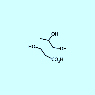 CC(O)CO.O=C(O)CCO